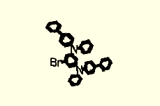 Brc1cc(N(c2ccccc2)c2ccc(-c3ccccc3)cc2)cc(N(c2ccccc2)c2ccc(-c3ccccc3)cc2)c1